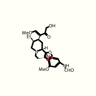 CC[C@@H]1CN2CC[C@@]34OCCO[C@@]3(Nc3cc(NC=O)cc(OC)c34)[C@@H]2C[C@@H]1/C(=C\OC)C(=O)CO